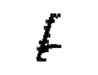 CCCCCCCCCCCCCCCC(=O)N[C@@H](COC(=O)NCCCNCCCCNCCCNC(=O)CCC(=O)O)[C@H](O)CCCCCCCCCCCCCCC